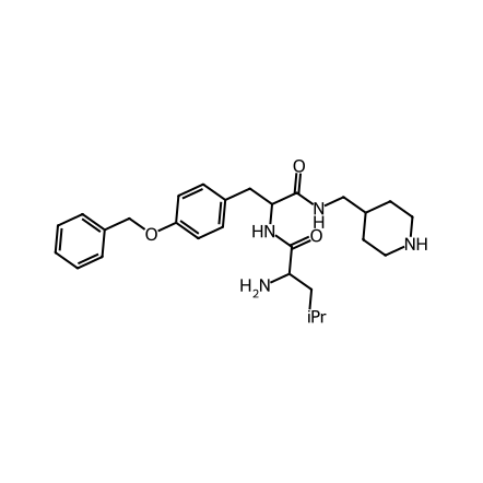 CC(C)CC(N)C(=O)NC(Cc1ccc(OCc2ccccc2)cc1)C(=O)NCC1CCNCC1